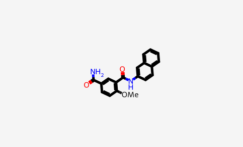 COc1ccc(C(N)=O)cc1C(=O)Nc1ccc2ccccc2c1